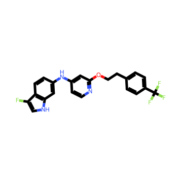 Fc1c[nH]c2cc(Nc3ccnc(OCCc4ccc(C(F)(F)F)cc4)c3)ccc12